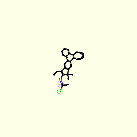 C=CC1=C(/N=C(\C)Cl)C(C)(C)c2cc3c4ccccc4c4ccccc4c3cc21